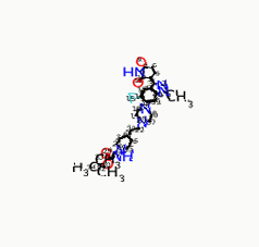 Cn1nc(C2CCC(=O)NC2=O)c2cc(F)c(N3CCN(CCC4CCN(NC(=O)OC(C)(C)C)CC4)CC3)cc21